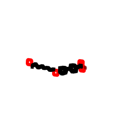 COC(=O)c1ccc(-c2ccc(OCCCCCCC[C]=O)cc2)cc1